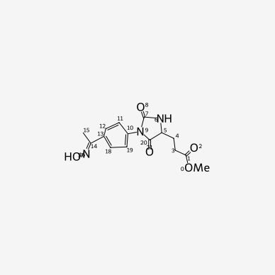 COC(=O)CCC1NC(=O)N(c2ccc(C(C)=NO)cc2)C1=O